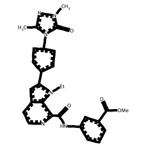 CCn1c(-c2ccc(-n3c(C)nn(C)c3=O)cc2)cc2ccnc(C(=O)Nc3cccc(C(=O)OC)c3)c21